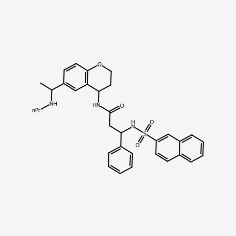 CCCNC(C)c1ccc2c(c1)C(NC(=O)CC(NS(=O)(=O)c1ccc3ccccc3c1)c1ccccc1)CCO2